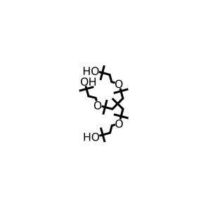 CC(C)(O)CCOC(C)(C)CC(C)(CC(C)(C)OCCC(C)(C)O)CC(C)(C)OCCC(C)(C)O